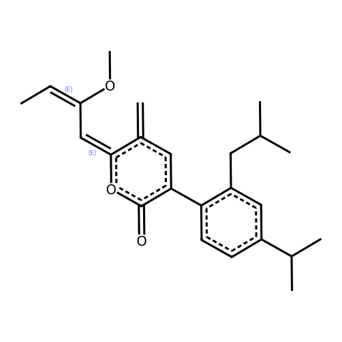 C=c1cc(-c2ccc(C(C)C)cc2CC(C)C)c(=O)o/c1=C/C(=C\C)OC